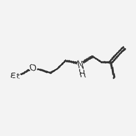 C=C(C)CNCCOCC